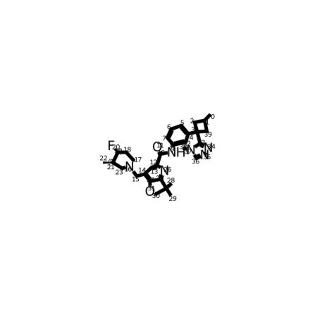 CC1CC(c2cccc(NC(=O)c3cc(CN4CC[C@H](F)[C@H](C)C4)c4c(n3)C(C)(C)CO4)c2)(c2nncn2C)C1